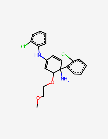 COCCOC1C=C(Nc2ccccc2Cl)C=CC1(N)c1ccccc1Cl